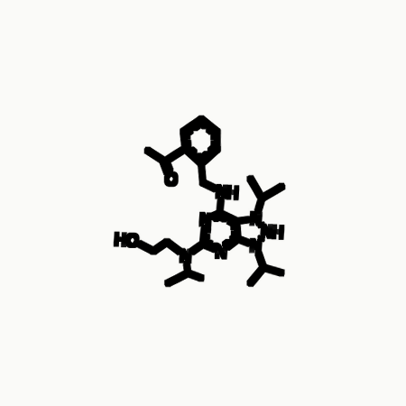 CC(=O)c1ccccc1CNc1nc(N(CCO)C(C)C)nc2c1N(C(C)C)NN2C(C)C